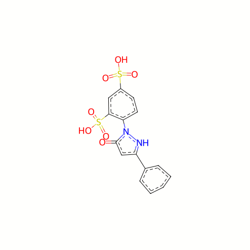 O=c1cc(-c2ccccc2)[nH]n1-c1ccc(S(=O)(=O)O)cc1S(=O)(=O)O